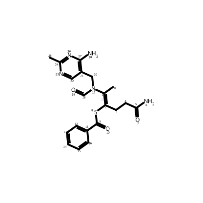 C/C(=C(\CCC(N)=O)SC(=O)c1ccccc1)N(C=O)Cc1cnc(C)nc1N